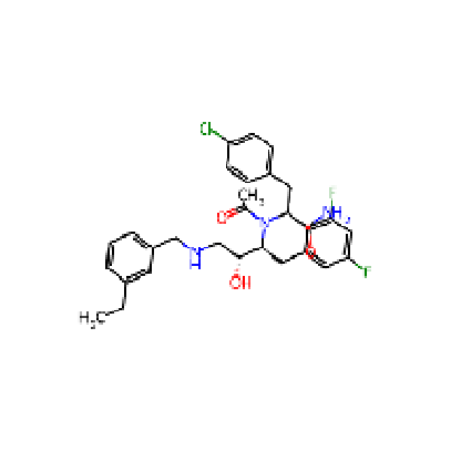 CCc1cccc(CNC[C@@H](O)[C@H](Cc2cc(F)cc(F)c2)N(C(C)=O)[C@@H](Cc2ccc(Cl)cc2)C(N)=O)c1